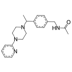 CC(=O)NCc1ccc(C(C)N2CCN(c3ccccn3)CC2)cc1